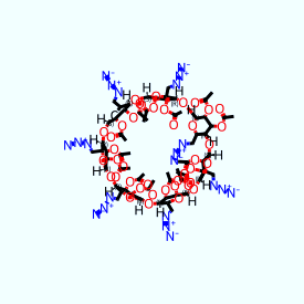 CC(=O)OC1C(OC(C)=O)[C@@H]2O[C@@H]3OC(CN=[N+]=[N-])[C@@H](O[C@@H]4OC(CN=[N+]=[N-])[C@@H](O[C@@H]5OC(CN=[N+]=[N-])[C@@H](O[C@H]6OC(CN=[N+]=[N-])[C@@H](O[C@H]7OC(CN=[N+]=[N-])[C@@H](O[C@H]8CC(CN=[N+]=[N-])[C@@H](O[C@H]1OC2CN=[N+]=[N-])C(OC(C)=O)C8OC(C)=O)C(OC(C)=O)C7OC(C)=O)C(OC(C)=O)C6OC(C)=O)C(OC(C)=O)C5OC(C)=O)C(OC(C)=O)C4OC(C)=O)C(OC(C)=O)C3OC(C)=O